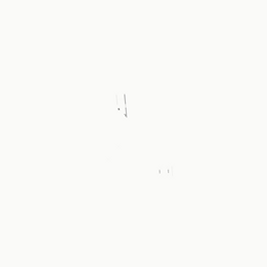 OCC1CC(c2ccccc2)Nc2ccccc21